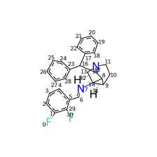 Fc1cccc(C=N[C@@H]2C3CCN(CC3)[C@@H]2C(c2ccccc2)c2ccccc2)c1F